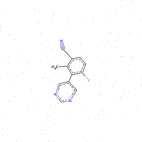 Cc1c(C#N)ccc(F)c1-c1cncnc1